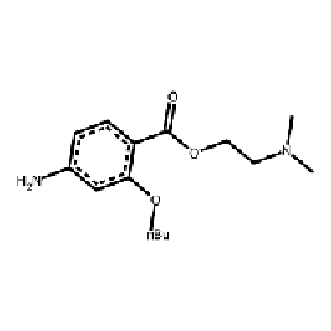 CCCCOc1cc(N)ccc1C(=O)OCCN(C)C